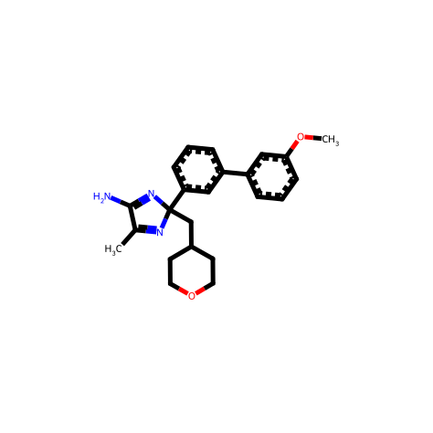 COc1cccc(-c2cccc(C3(CC4CCOCC4)N=C(C)C(N)=N3)c2)c1